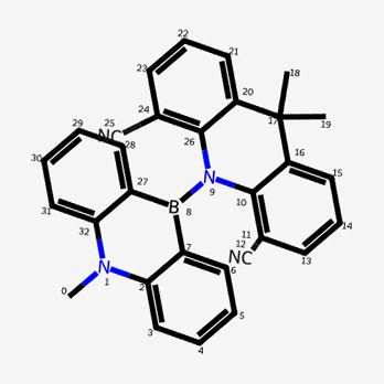 CN1c2ccccc2B(N2c3c(C#N)cccc3C(C)(C)c3cccc(C#N)c32)c2ccccc21